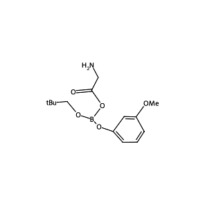 COc1cccc(OB(OCC(C)(C)C)OC(=O)CN)c1